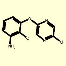 Nc1cccc(Oc2cnc(Cl)cn2)c1Cl